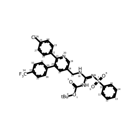 CC(C)(C)OC(=O)N/C(=N\S(=O)(=O)c1ccccc1)NCc1cnc(-c2ccc(Cl)cc2)c(-c2ccc(C(F)(F)F)cc2)c1